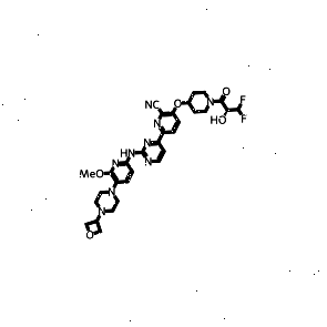 COc1nc(Nc2nccc(-c3ccc(OC4CCN(C(=O)[C@H](O)C(F)F)CC4)c(C#N)n3)n2)ccc1N1CCN(C2COC2)CC1